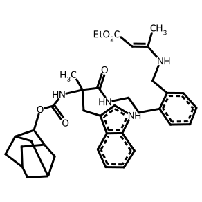 CCOC(=O)C=C(C)NCc1ccccc1CCNC(=O)C(C)(Cc1c[nH]c2ccccc12)NC(=O)OC1C2CC3CC(C2)CC1C3